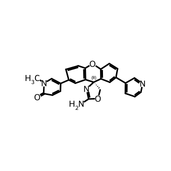 Cn1cc(-c2ccc3c(c2)[C@@]2(COC(N)=N2)c2cc(-c4cccnc4)ccc2O3)ccc1=O